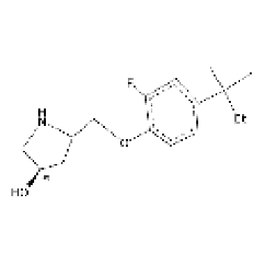 CCC(C)(C)c1ccc(OCC2C[C@@H](O)CN2)c(F)c1